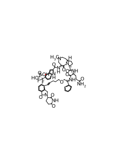 CN1CC[C@H]2CC[C@@H](C(=O)N[C@@H](CCC(N)=O)C(=O)N[C@H](COCCCC#Cc3cccc4c3CN(C3CCC(=O)NC3=O)C4=O)c3ccccc3)N2C(=O)[C@@H](NC(=O)c2cc3cc(C(F)(F)P(=O)(O)O)ccc3[nH]2)C1